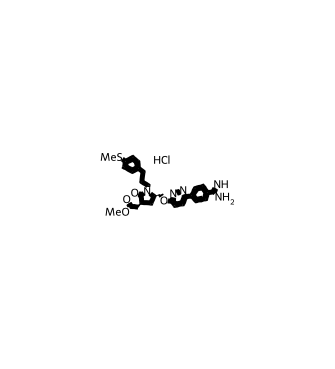 COC(=O)C[C@@H]1C[C@@H](COc2ccc(-c3ccc(C(=N)N)cc3)nn2)N(CCCc2ccc(SC)cc2)C1=O.Cl